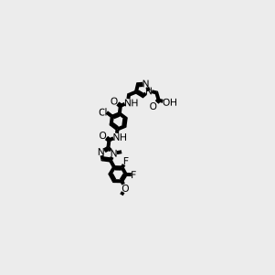 COc1ccc(-c2cnc(C(=O)Nc3ccc(C(=O)NCc4cnn(CC(=O)O)c4)c(Cl)c3)n2C)c(F)c1F